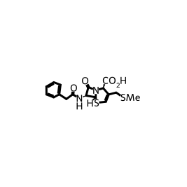 CSCC1=CS[C@@H]2[C@H](NC(=O)Cc3ccccc3)C(=O)N2[C@H]1C(=O)O